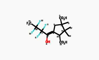 CC1(C(=O)O)CC(=C(O)C(F)(F)C(F)(F)C(F)(F)F)C(C(=O)O)C1(C)C